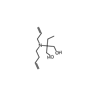 C=CCCN(CC=C)C(CC)(CO)CO